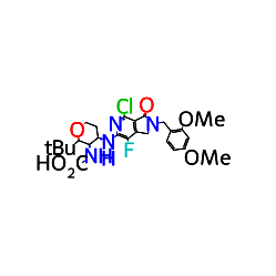 COc1ccc(CN2Cc3c(F)c(N[C@@H]4CCOC(C(C)(C)C)[C@@H]4NC(=O)O)nc(Cl)c3C2=O)c(OC)c1